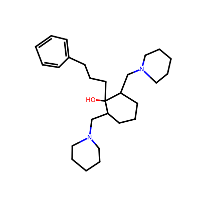 OC1(CCCc2ccccc2)C(CN2CCCCC2)CCCC1CN1CCCCC1